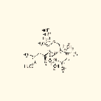 C=C[C@@H](C)CC(=O)[C@H]1[C@@H](C)CC[C@H]2C(C)(C)CC(O)C(O)(O)[C@]12C.Cl.Cl.O